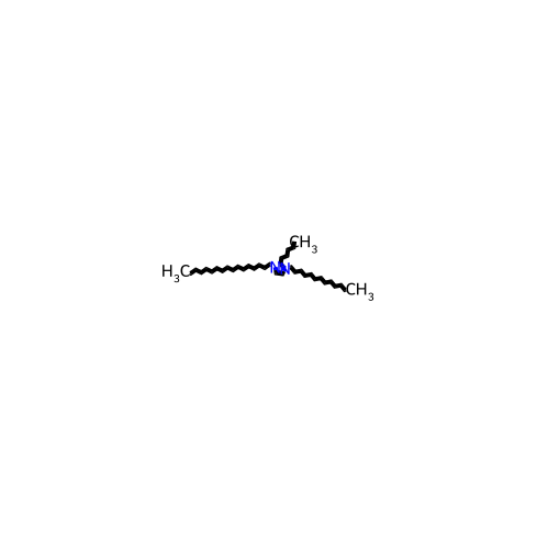 CCCCCCCCCCCCCCCCCN1C=CN(CCCCCCCCCCCCC)C1CCCCC